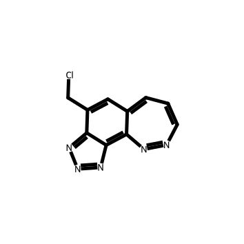 ClCc1cc2cccnnc2c2nnnc12